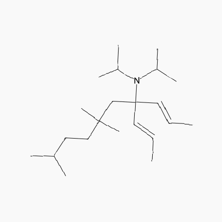 CC=CC(C=CC)(CC(C)(C)CCC(C)C)N(C(C)C)C(C)C